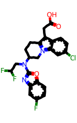 O=C(O)Cc1c2n(c3cc(Cl)ccc13)CC(N(CC(F)F)c1nc3cc(F)ccc3o1)CC2